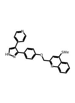 CSc1cc(COc2ccc(-c3n[nH]cc3-c3ccncc3)cc2)nc2ccccc12